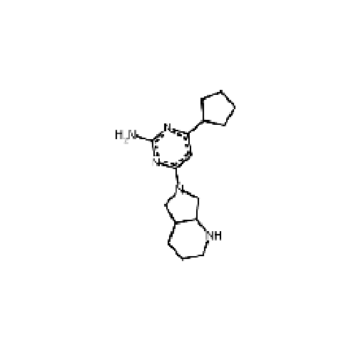 Nc1nc(C2CCCC2)cc(N2CC3CCCNC3C2)n1